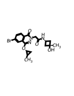 CC1C[C@H]1Oc1nn(CC(=O)N[C@H]2C[C@@](C)(O)C2)c(=O)c2ccc(Br)cc12